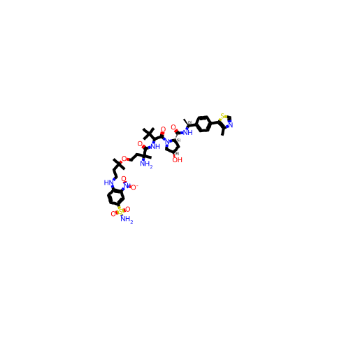 Cc1ncsc1-c1ccc([C@H](C)NC(=O)[C@@H]2C[C@@H](O)CN2C(=O)C(NC(=O)C(C)(N)CCOC(C)(C)CCNc2ccc(S(N)(=O)=O)cc2[N+](=O)[O-])C(C)(C)C)cc1